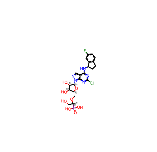 C[C@@](CO)(OC[C@H]1O[C@@H](n2ncc3c(NC4CCc5ccc(F)cc54)nc(Cl)nc32)[C@H](O)[C@@H]1O)P(=O)(O)O